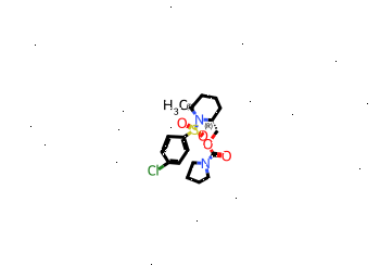 C[C@@H]1CCC[C@H](COC(=O)N2CCCC2)N1S(=O)(=O)c1ccc(Cl)cc1